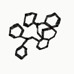 c1ccc(P(CC2CCCC3CCCCC32CP(c2ccccc2)c2ccccc2)c2ccccc2)cc1